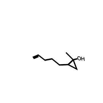 C=CCCCC1CC1(C)O